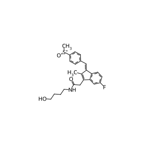 CC1=C(CC(=O)NCCCCO)c2cc(F)ccc2C1=Cc1ccc([S+](C)[O-])cc1